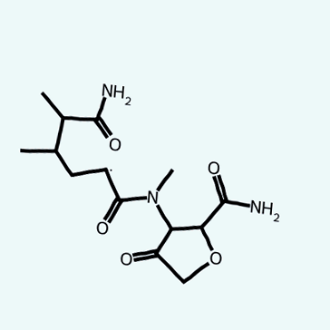 CC(C[CH]C(=O)N(C)C1C(=O)COC1C(N)=O)C(C)C(N)=O